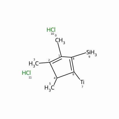 CC1=C(C)C(C)[C]([Ti])=C1[SiH3].Cl.Cl